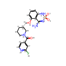 NC1=NS(=O)(=O)Nc2cccc(OC[C@H]3CCCN(C(=O)c4ccnc(F)c4)C3)c21